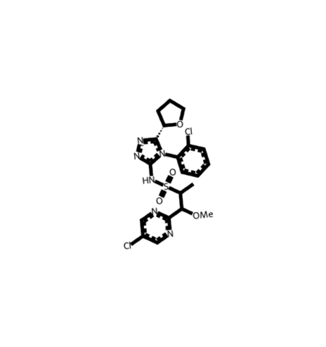 COC(c1ncc(Cl)cn1)C(C)S(=O)(=O)Nc1nnc([C@@H]2CCCO2)n1-c1ccccc1Cl